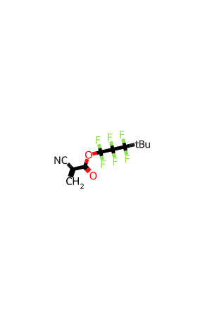 C=C(C#N)C(=O)OC(F)(F)C(F)(F)C(F)(F)C(C)(C)C